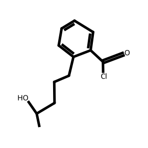 CC(O)CCCc1ccccc1C(=O)Cl